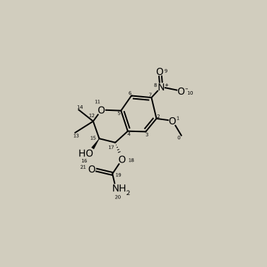 COc1cc2c(cc1[N+](=O)[O-])OC(C)(C)[C@H](O)[C@H]2OC(N)=O